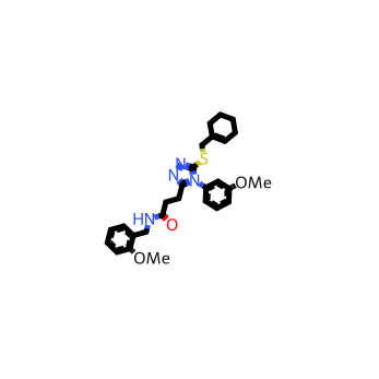 COc1cccc(-n2c(CCC(=O)NCc3ccccc3OC)nnc2SCC2=CCCCC2)c1